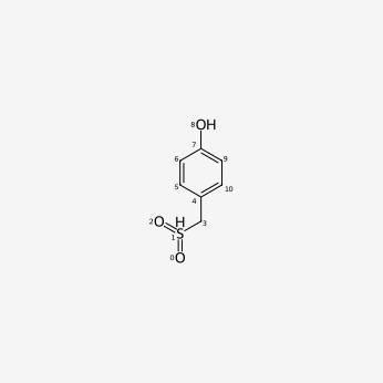 O=[SH](=O)Cc1ccc(O)cc1